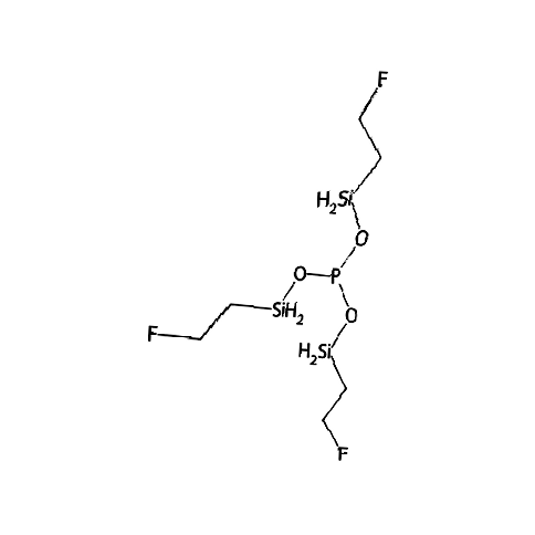 FCC[SiH2]OP(O[SiH2]CCF)O[SiH2]CCF